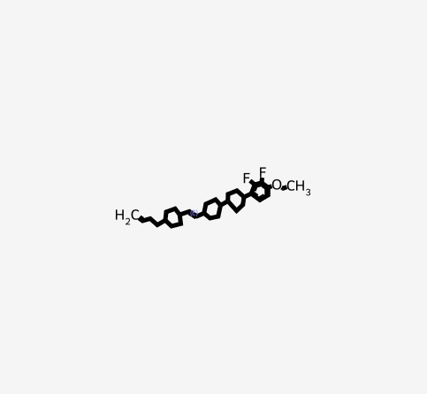 C=CCCC1CCC(/C=C/C2CCC(C3CCC(c4ccc(OCC)c(F)c4F)CC3)CC2)CC1